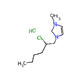 CCCCC(Cl)CN1C=CN(C)C1.Cl